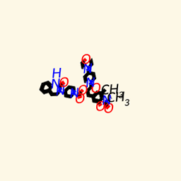 Cc1cc(CC(OC(=O)N2CCC(N3CCc4ccccc4NC3=O)CC2)C(=O)N2CCC(N3CCOCC3)CC2)cc2oc(=O)n(C)c12